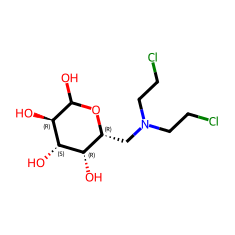 OC1O[C@H](CN(CCCl)CCCl)[C@H](O)[C@H](O)[C@H]1O